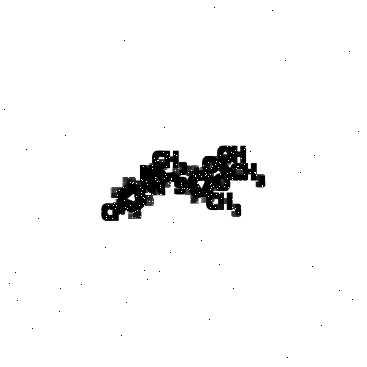 Cc1cc(SCc2nn(-c3ccc(Cl)cc3)nc2C)ccc1OC(C)C(=O)O